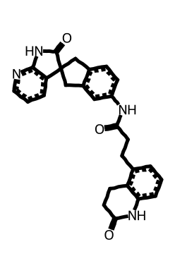 O=C(CCc1cccc2c1CCC(=O)N2)Nc1ccc2c(c1)CC1(C2)C(=O)Nc2ncccc21